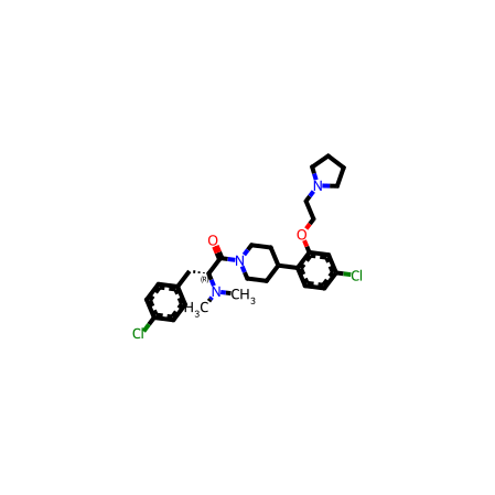 CN(C)[C@H](Cc1ccc(Cl)cc1)C(=O)N1CCC(c2ccc(Cl)cc2OCCN2CCCC2)CC1